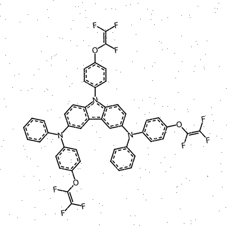 FC(F)=C(F)Oc1ccc(N(c2ccccc2)c2ccc3c(c2)c2cc(N(c4ccccc4)c4ccc(OC(F)=C(F)F)cc4)ccc2n3-c2ccc(OC(F)=C(F)F)cc2)cc1